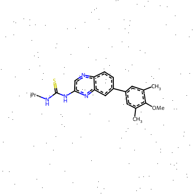 COc1c(C)cc(-c2ccc3ncc(NC(=S)NC(C)C)nc3c2)cc1C